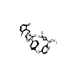 CN(c1cc(Oc2ccc(-n3ncn(Cc4c(F)cccc4F)c3=O)cc2)ccn1)C1CC(F)(F)C1